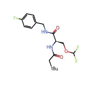 CC(C)(C)CC(=O)N[C@H](COC(F)F)C(=O)NCc1ccc(F)cc1